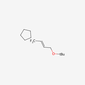 C1CCCC1.CC(C)(C)OCC=CC(F)(F)F